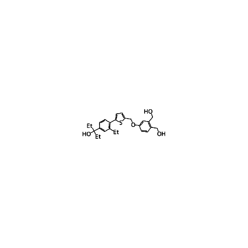 CCc1cc(C(O)(CC)CC)ccc1-c1ccc(COc2ccc(CO)c(CO)c2)s1